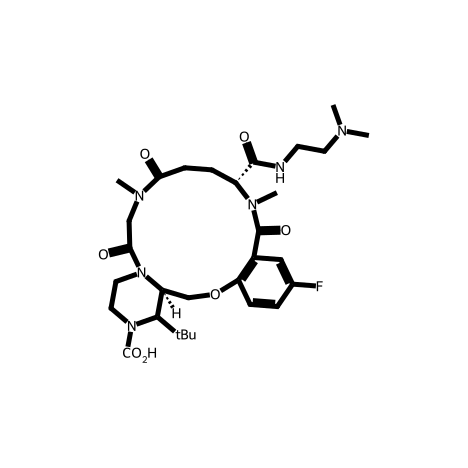 CN(C)CCNC(=O)[C@H]1CCC(=O)N(C)CC(=O)N2CCN(C(=O)O)C(C(C)(C)C)[C@@H]2COc2ccc(F)cc2C(=O)N1C